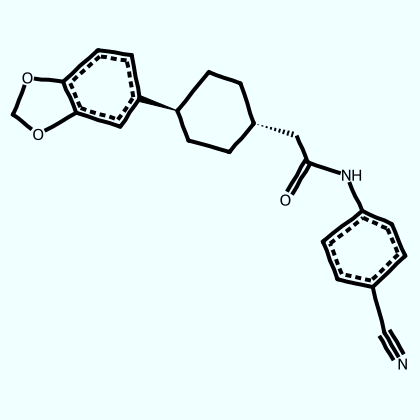 N#Cc1ccc(NC(=O)C[C@H]2CC[C@H](c3ccc4c(c3)OCO4)CC2)cc1